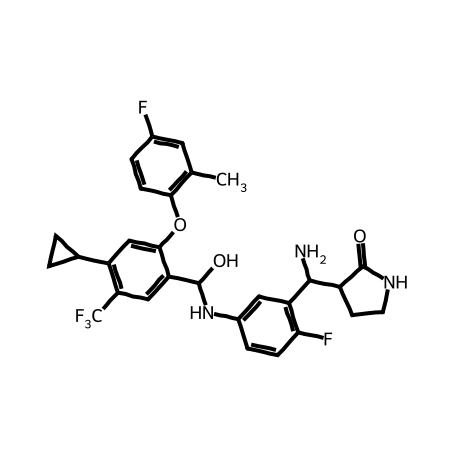 Cc1cc(F)ccc1Oc1cc(C2CC2)c(C(F)(F)F)cc1C(O)Nc1ccc(F)c(C(N)C2CCNC2=O)c1